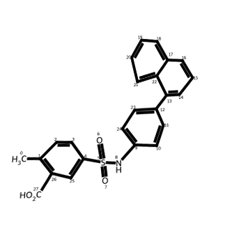 Cc1ccc(S(=O)(=O)Nc2ccc(-c3cccc4ccccc34)cc2)cc1C(=O)O